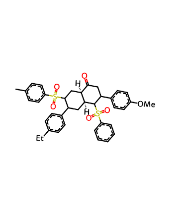 CCc1ccc(C2C[C@@H]3C(S(=O)(=O)c4ccccc4)C(c4ccc(OC)cc4)CC(=O)[C@@H]3CC2S(=O)(=O)c2ccc(C)cc2)cc1